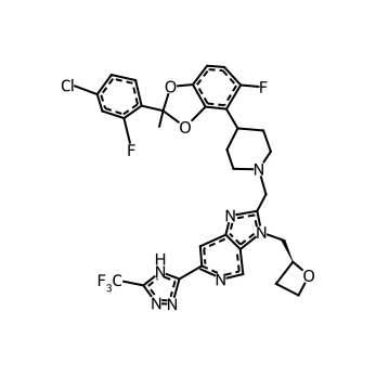 CC1(c2ccc(Cl)cc2F)Oc2ccc(F)c(C3CCN(Cc4nc5cc(-c6nnc(C(F)(F)F)[nH]6)ncc5n4C[C@@H]4CCO4)CC3)c2O1